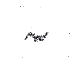 Nc1c(/N=N/c2ccc(S(=O)(=O)CCOS(=O)(=O)O)cc2)c(S(=O)(=O)O)cc2cc(SOOO)c(/N=N/c3ccc(C(=O)Nc4cccc(S(=O)(=O)CCOSOOO)c4)cc3)c(O)c12